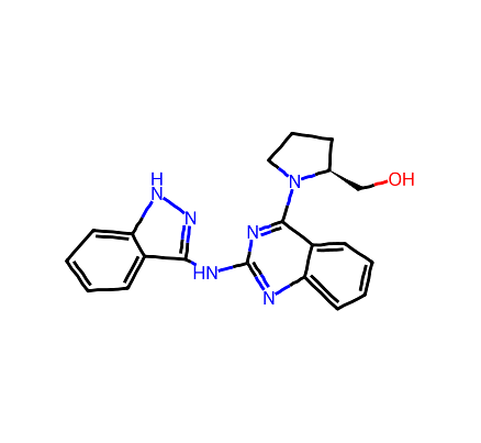 OC[C@@H]1CCCN1c1nc(Nc2n[nH]c3ccccc23)nc2ccccc12